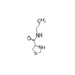 C=CCNC(=O)C1CSCN1